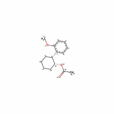 COc1ccccc1[C@H]1CCCC[C@H]1OC(C)=O